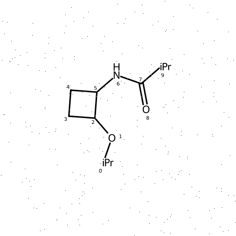 CC(C)OC1CCC1NC(=O)C(C)C